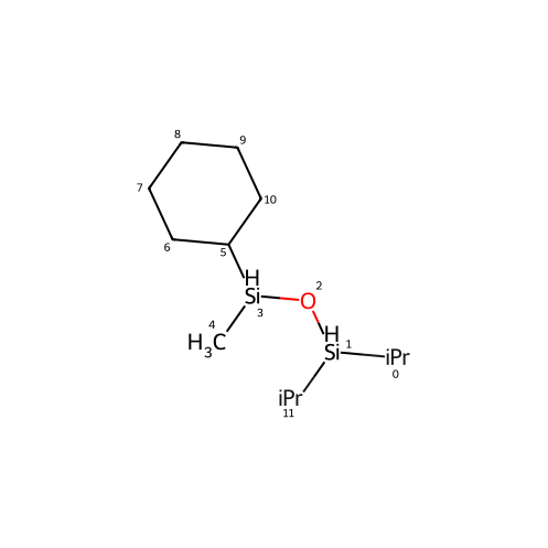 CC(C)[SiH](O[SiH](C)C1CCCCC1)C(C)C